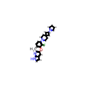 Cc1ccc(N2CCC3(CC2)CC(N2CCCC2)C3)c(F)c1Oc1cnc2[nH]ccc2c1